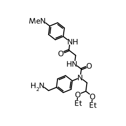 CCOC(CN(C(=O)NCC(=O)Nc1ccc(NC)cc1)c1ccc(CN)cc1)OCC